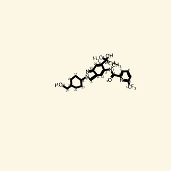 CN(C(=O)c1cccc(C(F)(F)F)n1)c1cc2cn(C3CCC(CO)CC3)nc2cc1C(C)(C)O